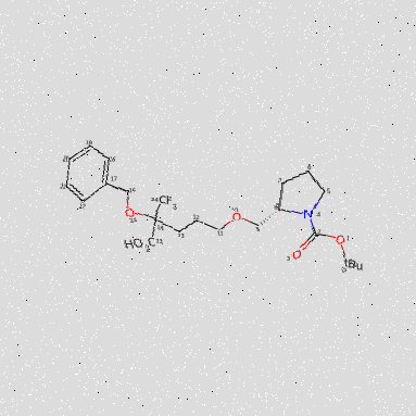 CC(C)(C)OC(=O)N1CCC[C@H]1COCCCC(OCc1ccccc1)(C(=O)O)C(F)(F)F